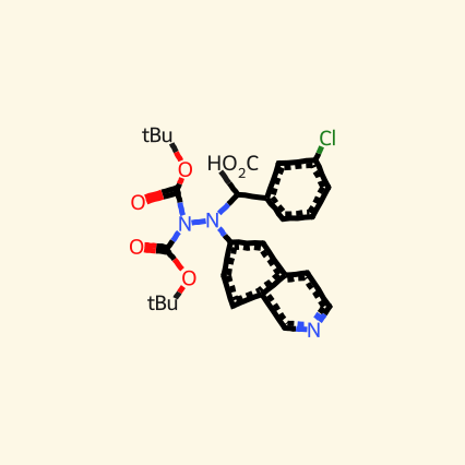 CC(C)(C)OC(=O)N(C(=O)OC(C)(C)C)N(c1ccc2cnccc2c1)C(C(=O)O)c1cccc(Cl)c1